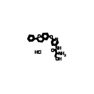 Cl.NC(CO)C(=O)Nc1ccc(Oc2ccc3c(c2)CCC(c2ccccc2)O3)nc1